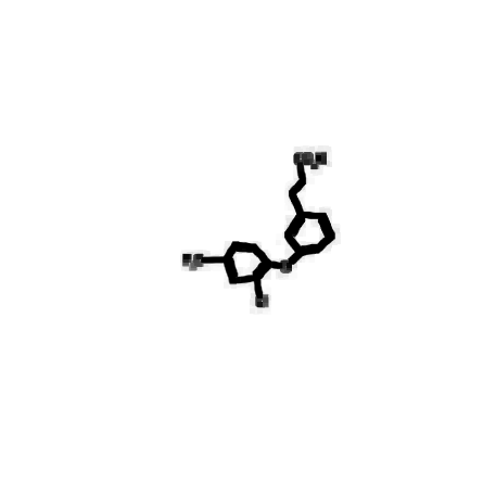 O=C(O)CCc1cccc(Oc2ccc(C(F)(F)F)cc2Cl)c1